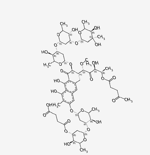 CO[C@H](C(=O)[C@@H](O)[C@@H](C)OC(=O)CCC(C)=O)[C@@H]1Cc2cc3cc(O[C@H]4C[C@@H](O[C@H]5C[C@@H](OC(=O)CCC(=O)O)[C@H](O)C(C)O5)[C@H](O)C(C)O4)c(C)c(O)c3c(O)c2C(=O)[C@H]1O[C@H]1C[C@@H](O[C@H]2C[C@@H](O[C@H]3C[C@](C)(O)[C@H](O)C(C)O3)[C@@H](O)C(C)O2)[C@H](O)C(C)O1